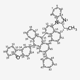 CCc1nc2ccccc2n1-c1ccc(-c2c3ccccc3c(-c3ccc4oc5ccccc5c4c3)c3cc(-c4ccccc4)ccc23)c2ccccc12